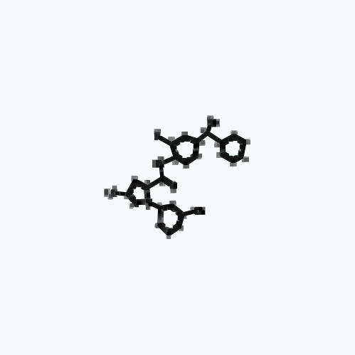 N#Cc1cccc(-n2nc(C(F)(F)F)cc2C(=O)Nc2ccc(C(O)c3ccccc3)cc2F)c1